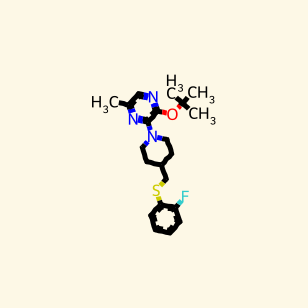 Cc1cnc(OC(C)(C)C)c(N2CCC(CSc3ccccc3F)CC2)n1